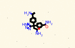 C=C(N)c1ccc(C(C[C@H](C)N)(c2ccc(C(N)=O)cc2)c2nn[nH]n2)cc1